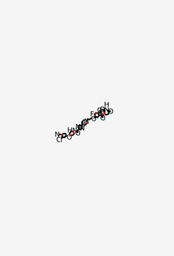 N#Cc1ccc(O[C@H]2CC[C@H](NC(=O)c3cnc(N4CCN(CCCOc5cc6c(cc5F)C(=O)N(C5CCC(=O)NC5=O)C6=O)CC4)cn3)CC2)cc1Cl